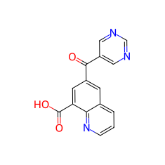 O=C(c1cncnc1)c1cc(C(=O)O)c2ncccc2c1